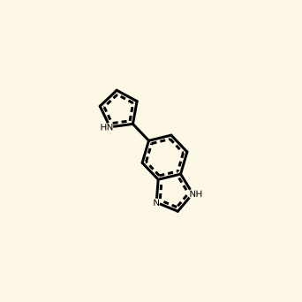 c1c[nH]c(-c2ccc3[nH]cnc3c2)c1